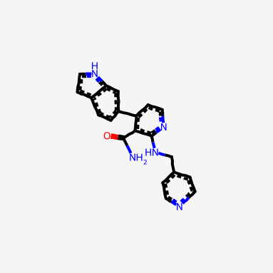 NC(=O)c1c(-c2ccc3cc[nH]c3c2)ccnc1NCc1ccncc1